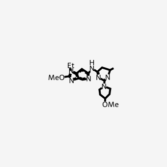 CCn1c(OC)nc2cnc(NC3=NC(N4CCC(OC)CC4)=NC(C)C3)cc21